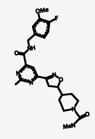 CNC(=O)N1CCC(C2CC(c3cc(C(=O)NCc4ccc(F)c(OC)c4)nc(C)n3)=NO2)CC1